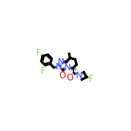 CC1CC[C@@H](C(=O)N2CC(F)C2)n2c1nn(Cc1ccc(F)cc1F)c2=O